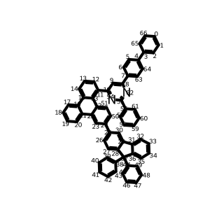 c1ccc(-c2ccc(-c3cc(-c4cccc5c6ccccc6c6cc(-c7ccc8c(c7)-c7ccccc7C8(c7ccccc7)c7ccccc7)ccc6c45)nc(-c4ccccc4)n3)cc2)cc1